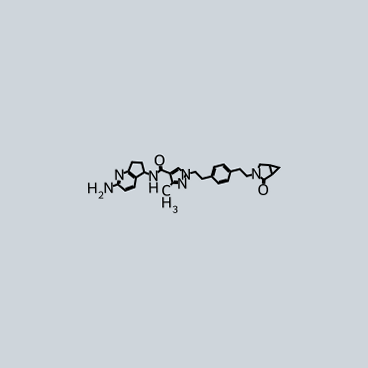 Cc1nn(CCc2ccc(CCN3CC4CC4C3=O)cc2)cc1C(=O)NC1CCc2nc(N)ccc21